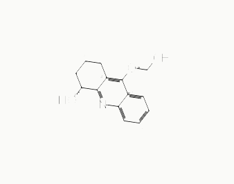 CCOc1c2c(nc3ccccc13)C(O)CCC2